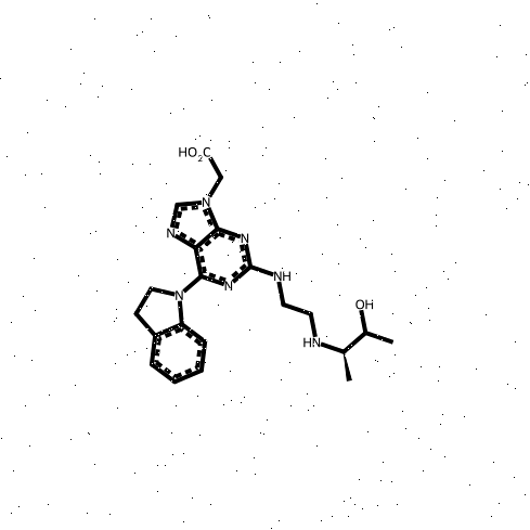 CC(O)[C@@H](C)NCCNc1nc(N2CCc3ccccc32)c2ncn(CC(=O)O)c2n1